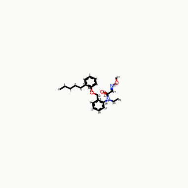 CCCCCc1ccccc1OCc1ccccc1N(CC)C(=O)C=NOC